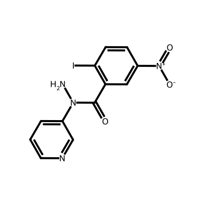 NN(C(=O)c1cc([N+](=O)[O-])ccc1I)c1cccnc1